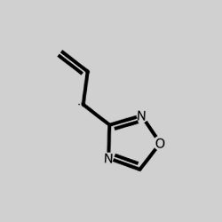 C=C[CH]c1ncon1